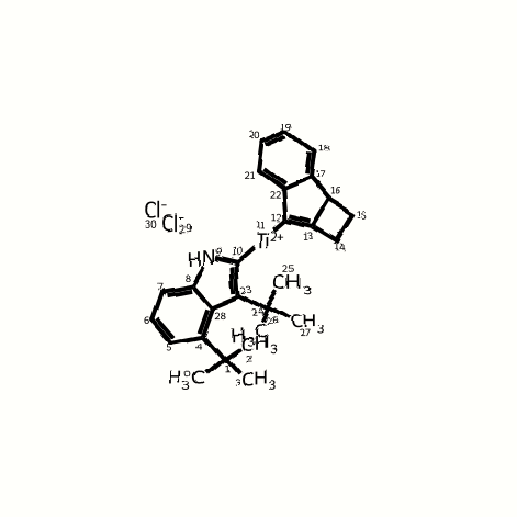 CC(C)(C)c1cccc2[nH][c]([Ti+2][C]3=C4CCC4c4ccccc43)c(C(C)(C)C)c12.[Cl-].[Cl-]